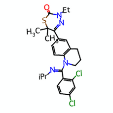 CCN1N=C(c2ccc3c(c2)CCCN3C(=NC(C)C)c2ccc(Cl)cc2Cl)C(C)(C)SC1=O